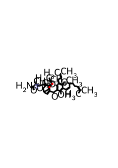 CC(C)=CCCC1(C)C=Cc2c(O)c3c(c(CC=C(C)C)c2O1)OC12C(=CC4CCC1C(C)(C)OC2(C/C=C(\C)C(N)=O)C4=O)C3=O